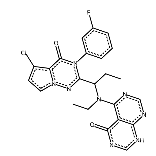 CCC(c1nn2ccc(Cl)c2c(=O)n1-c1cccc(F)c1)N(CC)c1ncnc2[nH]cnc(=O)c12